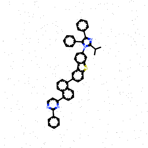 CC(C)c1nc(-c2ccccc2)c(-c2ccccc2)n1-c1ccc2c(c1)sc1ccc(-c3cccc4c(-c5ccnc(-c6ccccc6)n5)cccc34)cc12